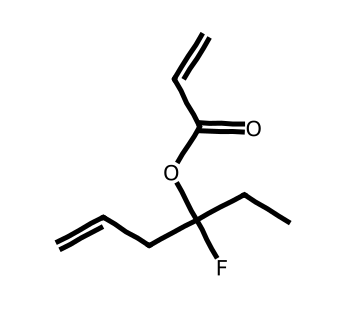 C=CCC(F)(CC)OC(=O)C=C